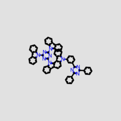 c1ccc(-c2nc(-c3ccccc3)nc(-c3cccc(-n4c5ccccc5c5c4ccc4c6ccccc6n(-c6nc(-n7c8ccccc8c8ccccc87)nc(-n7c8ccccc8c8ccccc87)n6)c45)c3)n2)cc1